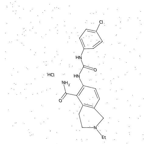 CCN1CCc2c(ccc(NC(=O)Nc3ccc(Cl)cc3)c2C(N)=O)C1.Cl